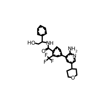 Nc1ncc(C2CCOCC2)cc1-c1ccc(C(=O)NC(CO)c2ccccc2)c(C(F)(F)F)c1